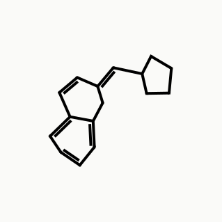 C1=Cc2ccccc2CC1=CC1CCCC1